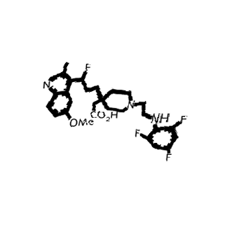 COc1ccc2ncc(C)c(C(F)CCC3(CC(=O)O)CCN(CCNc4c(F)cc(F)cc4F)CC3)c2c1